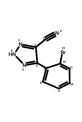 N#Cc1n[nH]nc1-c1ccccc1Br